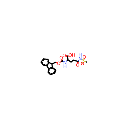 CS(=O)(=O)NC(=O)CCC(NC(=O)OCC1c2ccccc2-c2ccccc21)C(=O)O